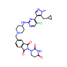 Cn1ncc(-c2nc(NC3CCN(Cc4ccc5c(c4)C(=O)N(N4CCC(=O)NC4=O)C5=O)CC3)ncc2Cl)c1CC1CC1